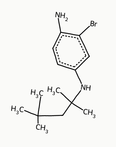 CC(C)(C)CC(C)(C)Nc1ccc(N)c(Br)c1